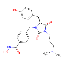 CN(C)CCCN1C(=O)[C@H](Cc2ccc(O)cc2)N(Cc2ccc(C(=O)NO)cc2)C1=O